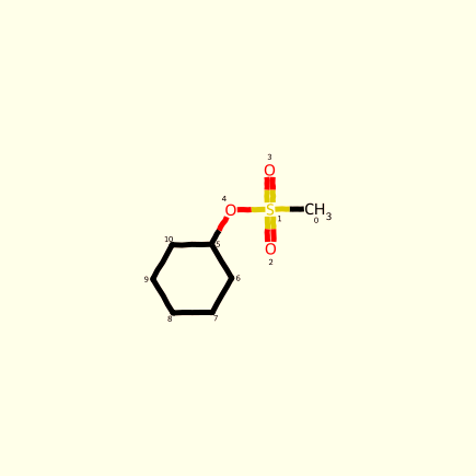 CS(=O)(=O)OC1CCCCC1